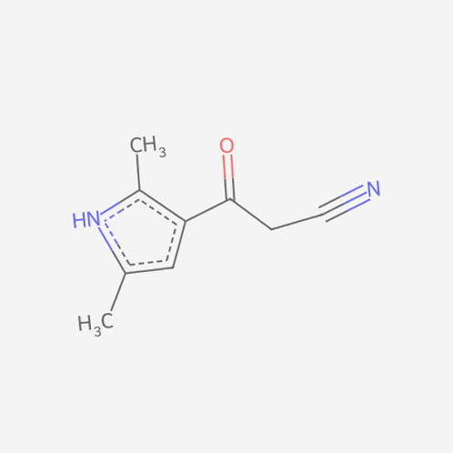 Cc1cc(C(=O)CC#N)c(C)[nH]1